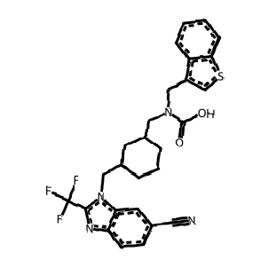 N#Cc1ccc2nc(C(F)(F)F)n(CC3CCCC(CN(Cc4csc5ccccc45)C(=O)O)C3)c2c1